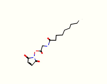 CCCCCCCCCCCCCCCCCC(=O)NCC(=O)ON1C(=O)C=CC1=O